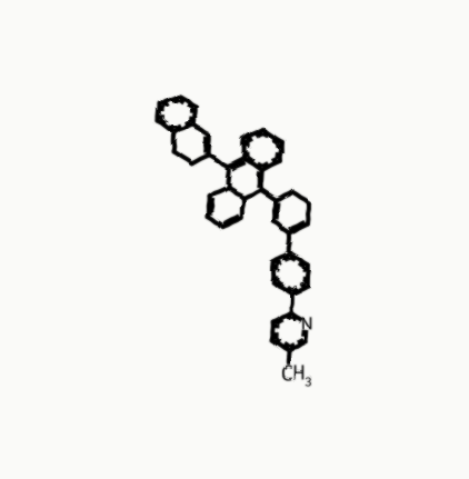 Cc1ccc(-c2ccc(C3=CCCC(C4=c5ccccc5=C(C5=Cc6ccccc6CC5)C5C=CC=CC45)=C3)cc2)nc1